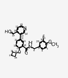 COc1ccc(CNC(=O)c2cc(-c3cnccc3CO)ccc2OC2CCC2)cc1F